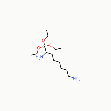 CCO[Si](OCC)(OCC)C(N)CCCCCCN